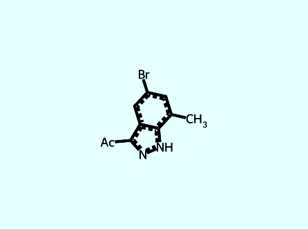 CC(=O)c1n[nH]c2c(C)cc(Br)cc12